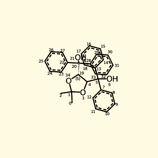 CC1(C)OC(C(O)(c2ccccc2)c2ccccc2)[C@@H](C(O)(c2ccccc2)c2ccccc2)O1